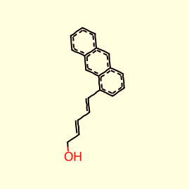 OCC=CC=Cc1cccc2cc3ccccc3cc12